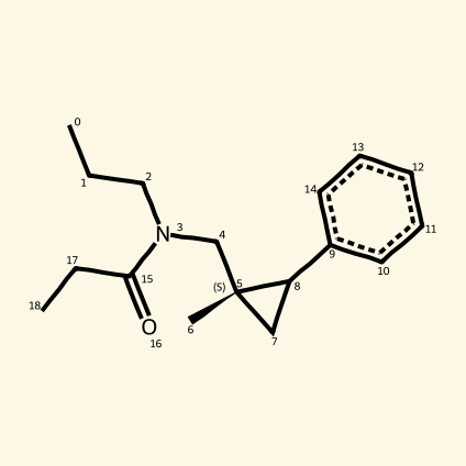 CCCN(C[C@@]1(C)CC1c1ccccc1)C(=O)CC